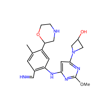 COc1nc(Nc2cc(C3CNCCO3)c(C)cc2C=N)cc(N2CC(O)C2)n1